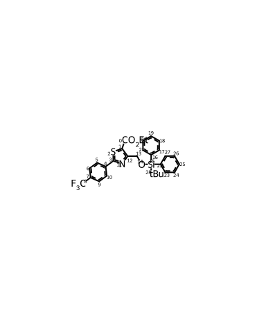 CCOC(=O)c1sc(-c2ccc(C(F)(F)F)cc2)nc1CO[Si](c1ccccc1)(c1ccccc1)C(C)(C)C